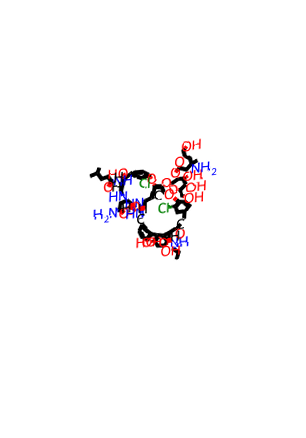 CCCNC(=O)[C@H]1C(=O)CCc2ccc(c(Cl)c2)OC2CC3=CC(=C2OC2OC(CO)C(O)C(O)C2OC2CC(C)(N)CC(CO)O2)Oc2ccc(cc2Cl)[C@@H](O)[C@@H](NC(=O)CCC(C)C)CN[C@@H](CC(N)=O)C(=O)N[C@H]3C(=O)NCc2ccc(O)c(c2)-c2c(O)cc(O)cc21